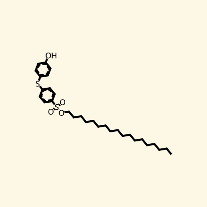 CCCCCCCCCCCCCCCCCCOS(=O)(=O)c1ccc(Sc2ccc(O)cc2)cc1